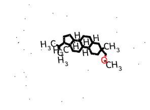 COCC1(C)CC[C@H]2[C@@H](CC[C@@H]3[C@@H]2CC[C@]2(C)C(C(C)C)CC[C@@H]32)C1